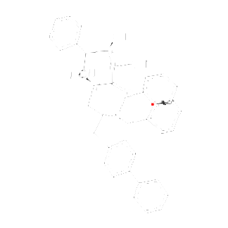 C[C@H](CC(Cc1ccc(-c2ccccc2)cc1)N(Cc1ccccc1)Cc1ccccc1)C(=O)N(C)[C@H](C)C(O)c1ccccc1